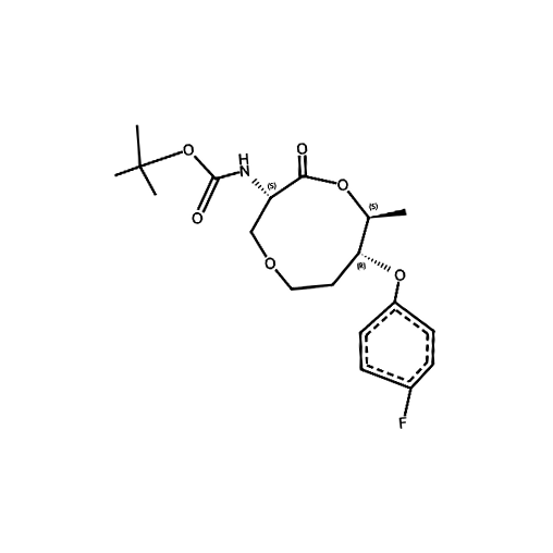 C[C@@H]1OC(=O)[C@@H](NC(=O)OC(C)(C)C)COCC[C@H]1Oc1ccc(F)cc1